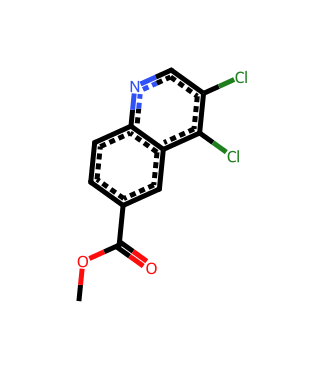 COC(=O)c1ccc2ncc(Cl)c(Cl)c2c1